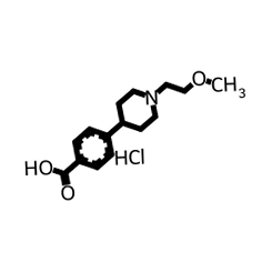 COCCN1CCC(c2ccc(C(=O)O)cc2)CC1.Cl